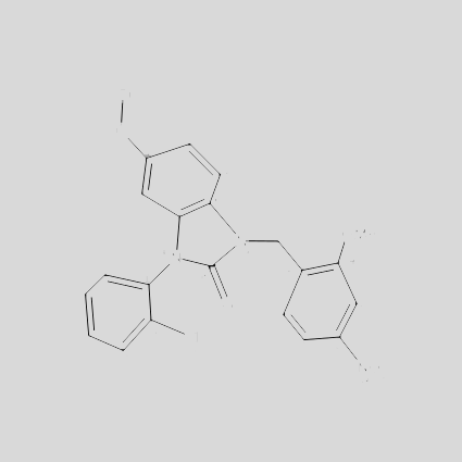 CCOc1ccc2c(c1)n(-c1ccccc1Cl)c(=O)n2Cc1ccc([N+](=O)[O-])cc1OC